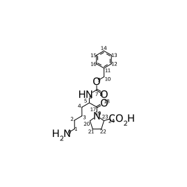 NCCCCC(NC(=O)OCc1ccccc1)C(=O)N1CCCC1C(=O)O